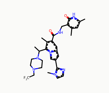 Cc1cc(C)c(CNC(=O)c2cc3cc(-c4nccn4C)cn3c(C(C)N3CCN(CC(F)(F)F)CC3)c2C)c(=O)[nH]1